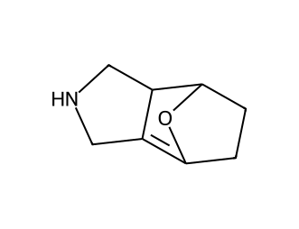 C1CC2OC1=C1CNCC12